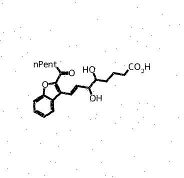 CCCCCC(=O)c1oc2ccccc2c1/C=C/C(O)C(O)CCCC(=O)O